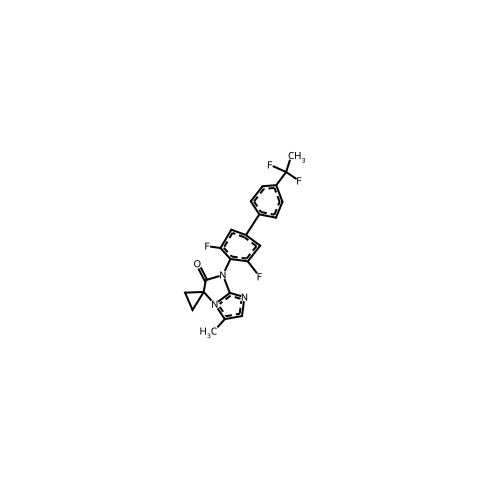 Cc1cnc2n1C1(CC1)C(=O)N2c1c(F)cc(-c2ccc(C(C)(F)F)cc2)cc1F